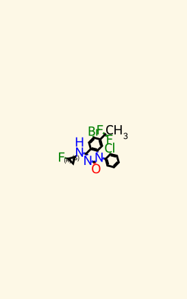 CC(F)(F)c1cc2c(cc1Br)c(N[C@H]1C[C@H]1F)nc(=O)n2-c1ccccc1Cl